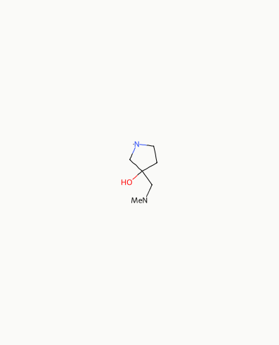 CNCC1(O)CC[N]C1